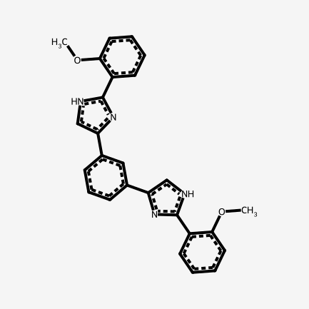 COc1ccccc1-c1nc(-c2cccc(-c3c[nH]c(-c4ccccc4OC)n3)c2)c[nH]1